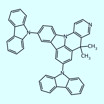 CC1(C)c2cnccc2-n2c3ccc(-n4c5ccccc5c5ccccc54)cc3c3cc(-n4c5ccccc5c5ccccc54)cc1c32